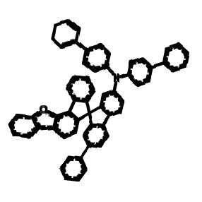 C1=CC(c2ccc(N(c3ccc(-c4ccccc4)cc3)c3ccc4c(c3)C3(c5cc(-c6ccccc6)ccc5-4)c4ccccc4-c4c3ccc3c4oc4ccccc43)cc2)=CCC1